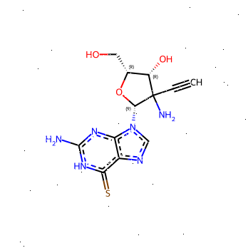 C#CC1(N)[C@@H](O)[C@@H](CO)O[C@H]1n1cnc2c(=S)[nH]c(N)nc21